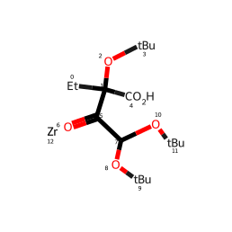 CCC(OC(C)(C)C)(C(=O)O)C(=O)C(OC(C)(C)C)OC(C)(C)C.[Zr]